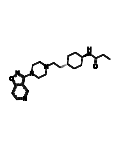 CCC(=O)N[C@H]1CC[C@H](CCN2CCN(c3noc4ccncc34)CC2)CC1